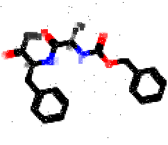 COC(=O)[C@H](Cc1ccccc1)NC(=O)[C@@H](NC(=O)OCc1ccccc1)C(C)C